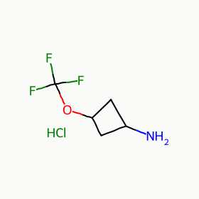 Cl.NC1CC(OC(F)(F)F)C1